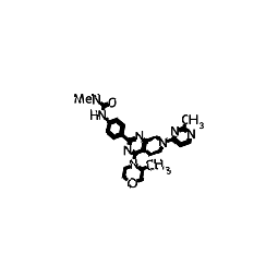 CNC(=O)Nc1ccc(-c2nc3c(c(N4CCOCC4C)n2)CCN(c2ccnc(C)n2)C3)cc1